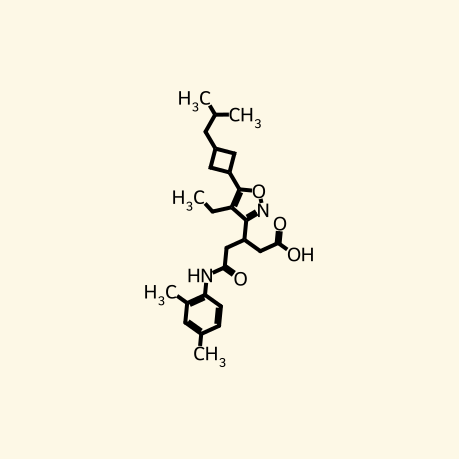 CCc1c(C(CC(=O)O)CC(=O)Nc2ccc(C)cc2C)noc1C1CC(CC(C)C)C1